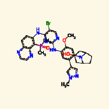 COc1cc(N2C3CCC2CC(O)C3)c(-c2cnn(C)c2)cc1Nc1ncc(Br)c(Nc2ccc3nccnc3c2P(C)(C)=O)n1